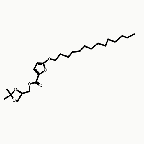 CCCCCCCCCCCCCCOc1ccc(C(=O)OCC2COC(C)(C)O2)o1